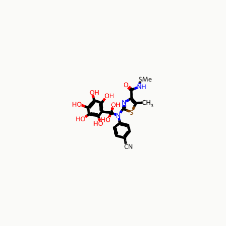 CSNC(=O)c1nc(N(c2ccc(C#N)cc2)C(O)(O)c2c(O)c(O)c(O)c(O)c2O)sc1C